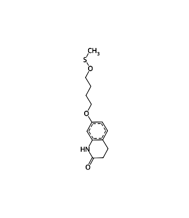 CSOCCCCOc1ccc2c(c1)NC(=O)CC2